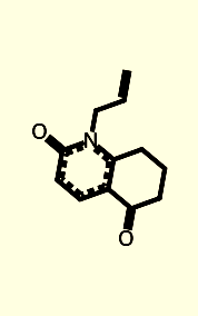 C=CCn1c2c(ccc1=O)C(=O)CCC2